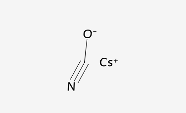 N#C[O-].[Cs+]